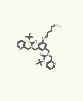 CC(C)(C)OC(=O)N(Cc1cc(CN(Cc2ccccn2)C(=O)OC(C)(C)C)cc(OCCCCN)c1)Cc1ccccn1